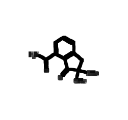 COC1(OC)Cc2cccc(C(N)=O)c2C1=O